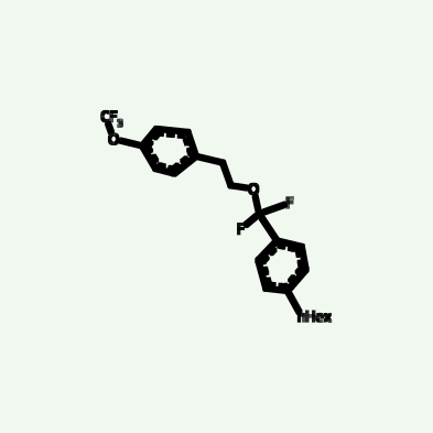 CCCCCCc1ccc(C(F)(F)OCCc2ccc(OC(F)(F)F)cc2)cc1